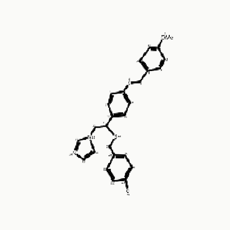 COc1ccc(CSc2ccc(C(Cn3ccnc3)SCc3ccc(Cl)cc3)cc2)cc1